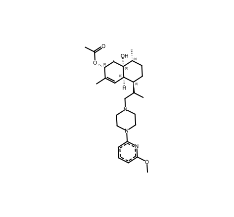 COc1cccc(N2CCN(CC(C)[C@@H]3CC[C@@H](C)[C@]4(O)[CH][C@@H](OC(C)=O)C(C)=C[C@H]34)CC2)n1